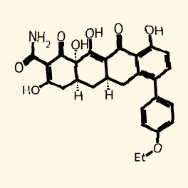 CCOc1ccc(-c2ccc(O)c3c2C[C@H]2C[C@H]4CC(O)=C(C(N)=O)C(=O)[C@@]4(O)C(O)=C2C3=O)cc1